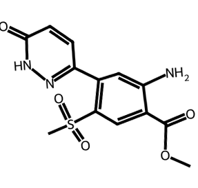 COC(=O)c1cc(S(C)(=O)=O)c(-c2ccc(=O)[nH]n2)cc1N